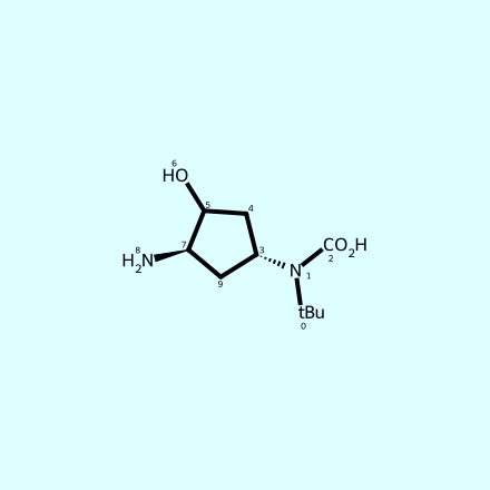 CC(C)(C)N(C(=O)O)[C@H]1CC(O)[C@H](N)C1